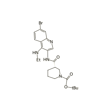 CCNc1c(NC(=O)[C@H]2CCCN(C(=O)OC(C)(C)C)C2)cnc2cc(Br)ccc12